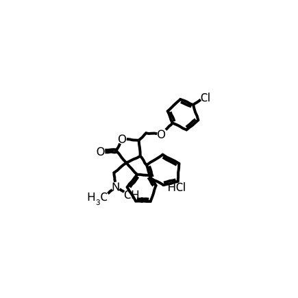 CN(C)CC1(c2ccccc2)C(=O)OC(COc2ccc(Cl)cc2)C1c1ccccc1.Cl